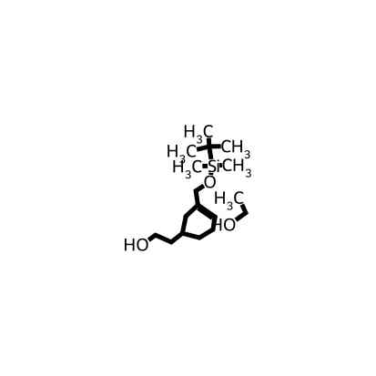 CC(C)(C)[Si](C)(C)OCC1=CCCC(CCO)C1.CCO